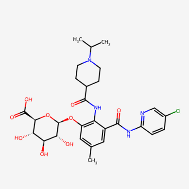 Cc1cc(O[C@@H]2O[C@H](C(=O)O)[C@@H](O)[C@H](O)[C@H]2O)c(NC(=O)C2CCN(C(C)C)CC2)c(C(=O)Nc2ccc(Cl)cn2)c1